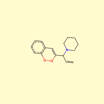 C=CC(C1=Cc2ccccc2OO1)N1CCCCC1